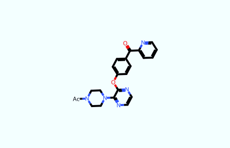 CC(=O)N1CCN(c2nccnc2Oc2ccc(C(=O)c3ccccn3)cc2)CC1